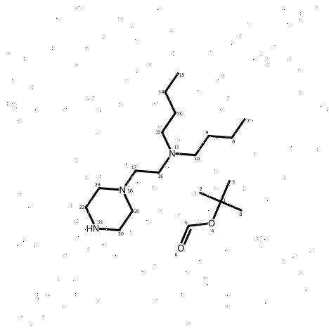 CC(C)(C)OC=O.CCCCN(CCCC)CCN1CCNCC1